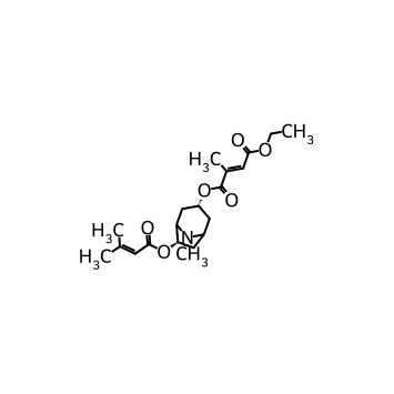 CCOC(=O)/C=C(\C)C(=O)O[C@@H]1CC2C[C@@H](OC(=O)C=C(C)C)C(C1)N2C